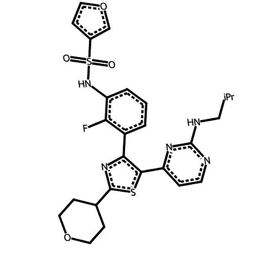 CC(C)CNc1nccc(-c2sc(C3CCOCC3)nc2-c2cccc(NS(=O)(=O)c3ccoc3)c2F)n1